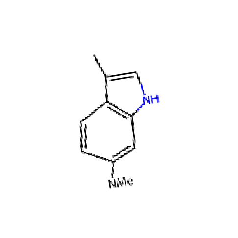 CNc1ccc2c(C)c[nH]c2c1